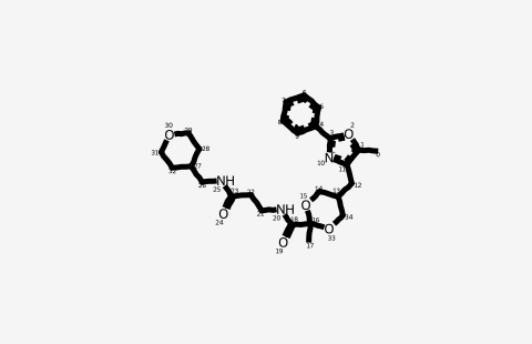 Cc1oc(-c2ccccc2)nc1CC1COC(C)(C(=O)NCCC(=O)NCC2CCOCC2)OC1